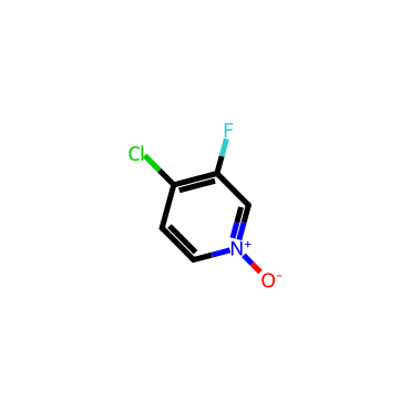 [O-][n+]1ccc(Cl)c(F)c1